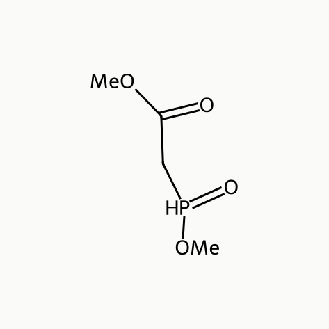 COC(=O)C[PH](=O)OC